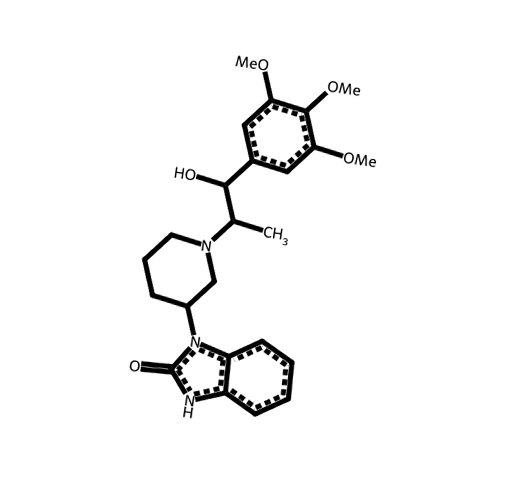 COc1cc(C(O)C(C)N2CCCC(n3c(=O)[nH]c4ccccc43)C2)cc(OC)c1OC